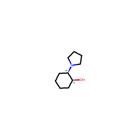 O[C@H]1CCCC[C@H]1N1CCCC1